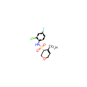 O=C(O)C1=CCOC[C@@H]1S(=O)(=O)Nc1ccc(F)cc1Cl